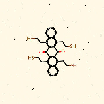 O=C1c2c(c(CCS)c3ccccc3c2CCS)C(=O)c2c1c(CCS)c1ccccc1c2CCS